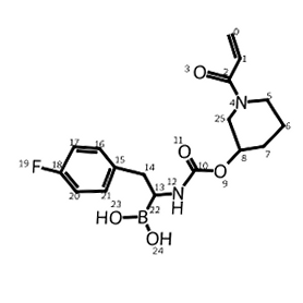 C=CC(=O)N1CCCC(OC(=O)NC(Cc2ccc(F)cc2)B(O)O)C1